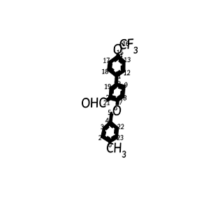 Cc1ccc(COc2ccc(-c3ccc(OC(F)(F)F)cc3)cc2C=O)cc1